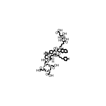 O=C(O)CCC(NC(=O)NC(CCCCNC(=O)C(Cc1ccc2ccccc2c1)NC(=O)C1CCC(n2cc(CC(NC(=O)CN3CCN(CC(=O)O)CCN(CC(=O)O)CCN(CC(=O)O)CC3)C(=O)NC(CCCCNC(=O)CCCc3ccc(I)cc3)C(=O)O)nn2)CC1)C(=O)O)C(=O)O